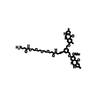 C=C1C[C@H]2C=Nc3cc(OCc4cc(C#CCNC(=O)CCOCCOCCOCCONC(=O)CCN)cc(COc5cc6c(cc5OC)C(=O)N5CC(=C)C[C@H]5C=N6)c4)c(C)cc3C(=O)N2C1